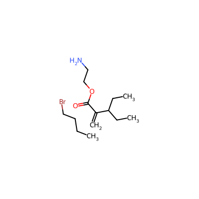 C=C(C(=O)OCCN)C(CC)CC.CCCCBr